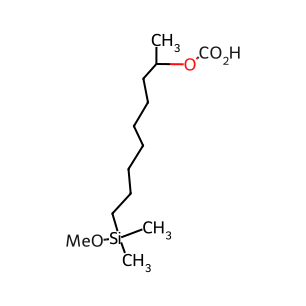 CO[Si](C)(C)CCCCCCCC(C)OC(=O)O